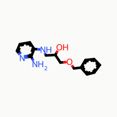 Nc1ncccc1NCC(O)COCc1ccccc1